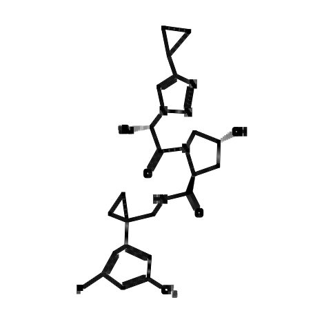 CC(C)(C)[C@@H](C(=O)N1C[C@H](O)C[C@H]1C(=O)NCC1(c2cc(F)cc(C(F)(F)F)c2)CC1)n1cc(C2CC2)nn1